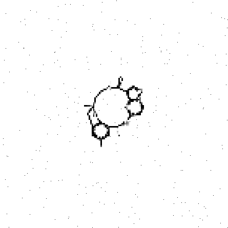 C[C@H]1Nc2ccn3ncc(c3n2)C(=O)NCC[C@@]2(C)Cc3cc(F)cc1c3O2